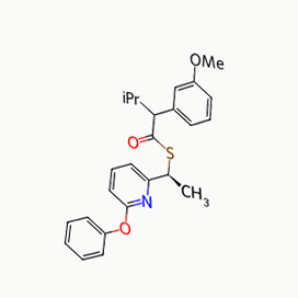 COc1cccc(C(C(=O)S[C@@H](C)c2cccc(Oc3ccccc3)n2)C(C)C)c1